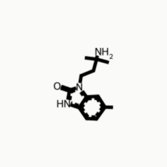 Cc1ccc2[nH]c(=O)n(CCC(C)(C)N)c2c1